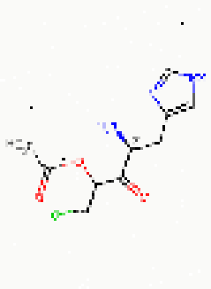 N[C@@H](Cc1c[nH]cn1)C(=O)C(CCl)OC(=O)C(=O)O